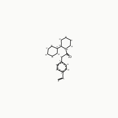 C=Cc1ccc(CC(=O)N2CCCCC2C2CCCCC2)cc1